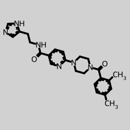 Cc1ccc(C(=O)N2CCN(c3ccc(C(=O)NCCc4cnc[nH]4)cn3)CC2)c(C)c1